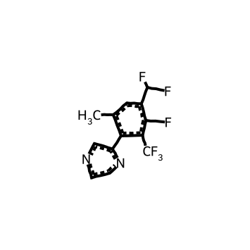 Cc1cc(C(F)F)c(F)c(C(F)(F)F)c1-c1cnccn1